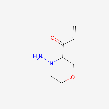 C=CC(=O)C1COCCN1N